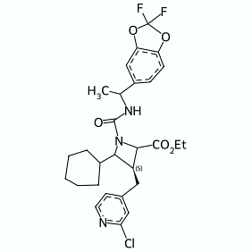 CCOC(=O)C1[C@@H](Cc2ccnc(Cl)c2)C(C2CCCCC2)N1C(=O)NC(C)c1ccc2c(c1)OC(F)(F)O2